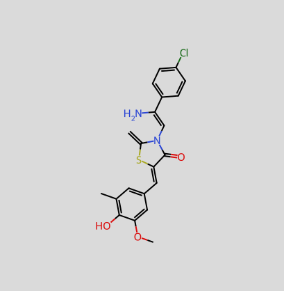 C=c1s/c(=C\c2cc(C)c(O)c(OC)c2)c(=O)n1/C=C(\N)c1ccc(Cl)cc1